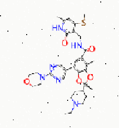 CCN1CCC([C@]2(C)Oc3c(-c4cnc(N5CCOCC5)nc4)cc(C(=O)NCc4c(SC)cc(C)[nH]c4=O)c(C)c3O2)CC1